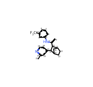 C=C(Nc1cccc(C(F)(F)F)c1)C1C2CCC(C2)C1c1ccnc(C)c1